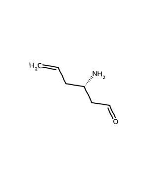 C=CC[C@H](N)CC=O